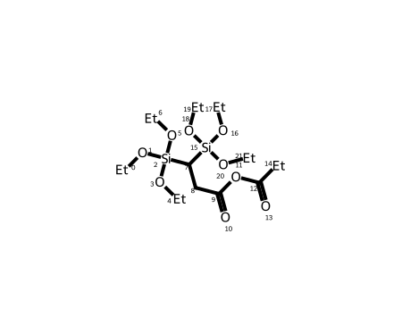 CCO[Si](OCC)(OCC)C(CC(=O)OC(=O)CC)[Si](OCC)(OCC)OCC